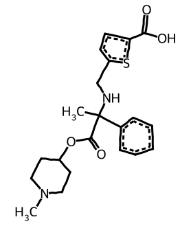 CN1CCC(OC(=O)C(C)(NCc2ccc(C(=O)O)s2)c2ccccc2)CC1